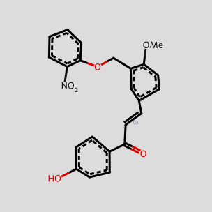 COc1ccc(/C=C/C(=O)c2ccc(O)cc2)cc1COc1ccccc1[N+](=O)[O-]